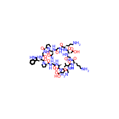 CC(C)[C@H](NC(=O)CN)C(=O)N[C@@H](CCCCN)C(=O)NCC(=O)N[C@@H](CC(=O)O)C(=O)N[C@@H](CCCCN)C(=O)NCC(=O)N[C@@H](CC(N)=O)C(=O)N1CCC[C@H]1C(=O)NCC(=O)N[C@@H](Cc1c[nH]c2ccccc12)C(=O)N1CCC[C@H]1C(=O)NCC(=O)N[C@@H](C)C(=O)N1CCC[C@H]1C(=O)O